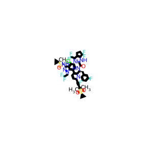 CC1([S+]([O-])Nc2nn(CC(F)F)c3c(-c4ccc(C#CC(C)(C)S(=O)(=O)C5CC5)nc4[C@H](Cc4cc(F)cc(F)c4)NC(=O)CNC4=C(C(=N)C(F)F)CCC4(F)F)ccc(Cl)c23)CC1